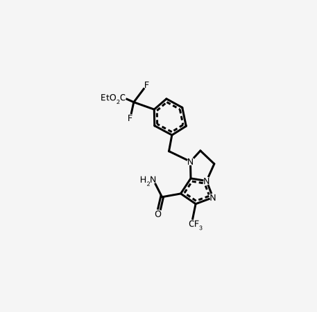 CCOC(=O)C(F)(F)c1cccc(CN2CCn3nc(C(F)(F)F)c(C(N)=O)c32)c1